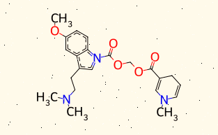 COc1ccc2c(c1)c(CCN(C)C)cn2C(=O)OCOC(=O)C1=CN(C)C=CC1